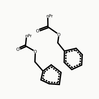 CCCC(=O)OCc1ccccc1.CCCC(=O)OCc1ccccc1